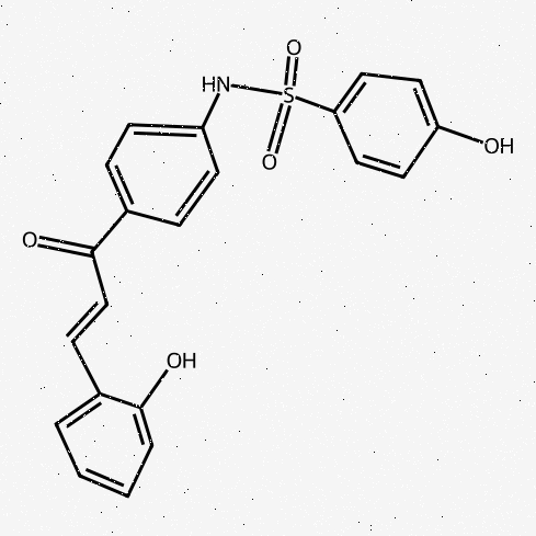 O=C(C=Cc1ccccc1O)c1ccc(NS(=O)(=O)c2ccc(O)cc2)cc1